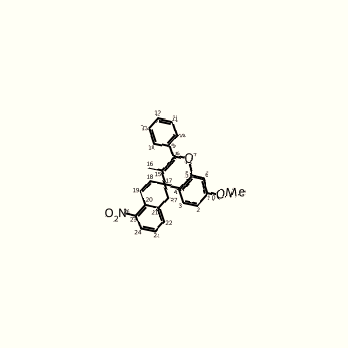 COc1ccc2c(c1)OC(c1ccccc1)=C(C)C21C=Cc2c(cccc2[N+](=O)[O-])C1